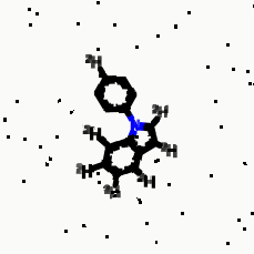 [2H]c1ccc(-n2c([2H])c([2H])c3c([2H])c([2H])c([2H])c([2H])c32)cc1